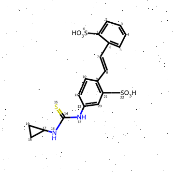 O=S(=O)(O)c1ccccc1C=Cc1ccc(NC(=S)NC2CC2)cc1S(=O)(=O)O